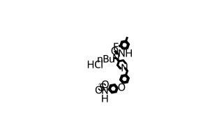 CCCCN(C(=O)Nc1ccc(C)cc1F)C1CCN(Cc2ccc(Oc3ccc(NS(C)(=O)=O)cc3)cc2)CC1.Cl